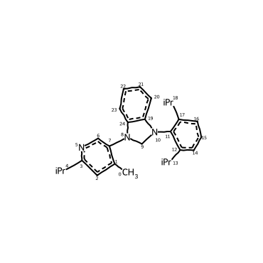 Cc1cc(C(C)C)ncc1N1CN(c2c(C(C)C)cccc2C(C)C)c2ccccc21